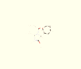 CNC(=O)N1C(C(C)(C)C)N(C)C(=O)C1(C)c1ccc(F)cc1